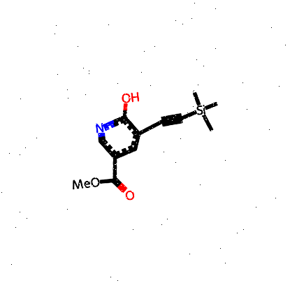 COC(=O)c1cnc(O)c(C#C[Si](C)(C)C)c1